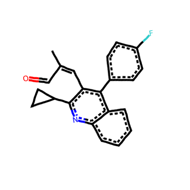 CC(C=O)=Cc1c(C2CC2)nc2ccccc2c1-c1ccc(F)cc1